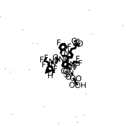 CC(C)(CCc1ccc(-c2ccc(Cl)c3c(N(COC(=O)C(=O)O)S(C)(=O)=O)nn(CC(F)(F)F)c23)c([C@H](Cc2cc(F)cc(F)c2)NC(=O)Cn2nc(C(F)(F)F)c3c2C(F)(F)[C@@H]2CC32)n1)S(C)(=O)=O